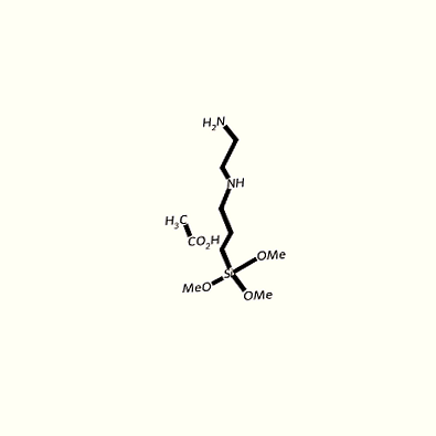 CC(=O)O.CO[Si](CCCNCCN)(OC)OC